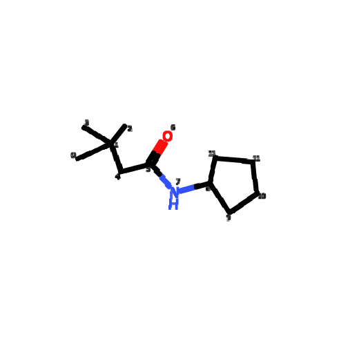 CC(C)(C)CC(=O)NC1CCCC1